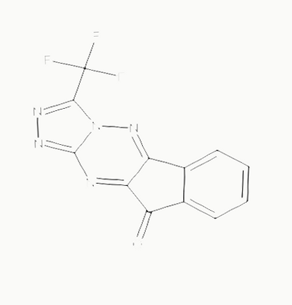 O=C1c2ccccc2-c2nn3c(C(F)(F)F)nnc3nc21